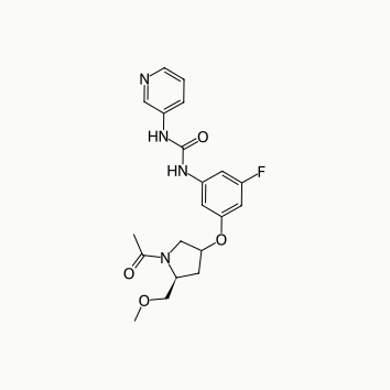 COC[C@@H]1CC(Oc2cc(F)cc(NC(=O)Nc3cccnc3)c2)CN1C(C)=O